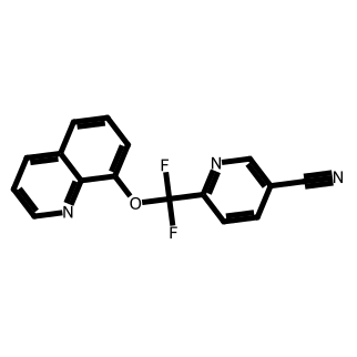 N#Cc1ccc(C(F)(F)Oc2cccc3cccnc23)nc1